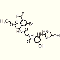 CCOC(=O)C[C@H](NC(=O)CNC(=O)c1cc(O)cc(NC2=NCC(O)CN2)c1)c1cc(Br)cc(C(F)F)c1